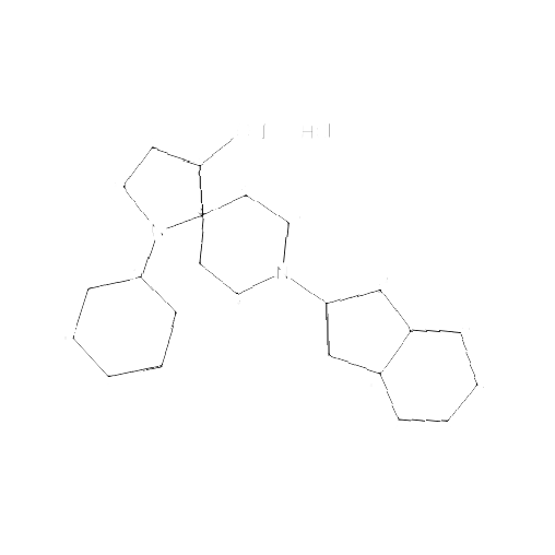 Cl.OC1CCN(C2CCCCC2)C12CCN(C1CC3CCCCC3C1)CC2